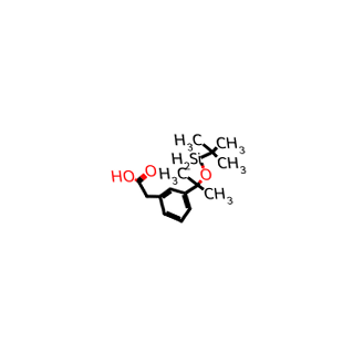 CC(C)(C)[SiH2]OC(C)(C)c1cccc(CC(=O)O)c1